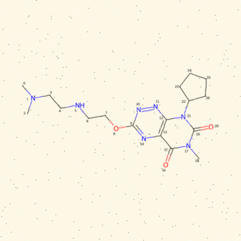 CN(C)CCNCCOc1nnc2c(n1)c(=O)n(C)c(=O)n2C1CCCC1